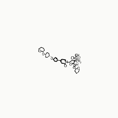 C[C@@](CCn1ccc(-c2ccc(OC[C@H]3CC[C@@H](OC4CCCCO4)CC3)cc2)cc1=O)(C(=O)NOC1CCCCO1)S(C)(=O)=O